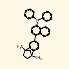 CC12CCC(C)(C1)c1cc(-c3ccc(N(c4ccccc4)c4ccccc4)c4ccccc34)ccc12